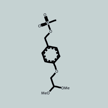 COC(COc1ccc(COS(C)(=O)=O)cc1)OC